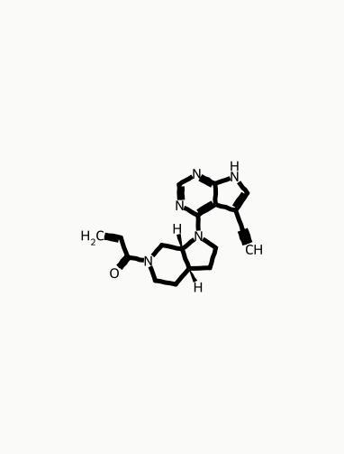 C#Cc1c[nH]c2ncnc(N3CC[C@@H]4CCN(C(=O)C=C)C[C@@H]43)c12